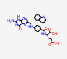 Nc1nc(=O)c2nc(CNc3ccc(C(=O)N[C@@H](CCC(=O)O)C(=O)O)cc3)cnc2[nH]1.c1ccc2ncccc2c1